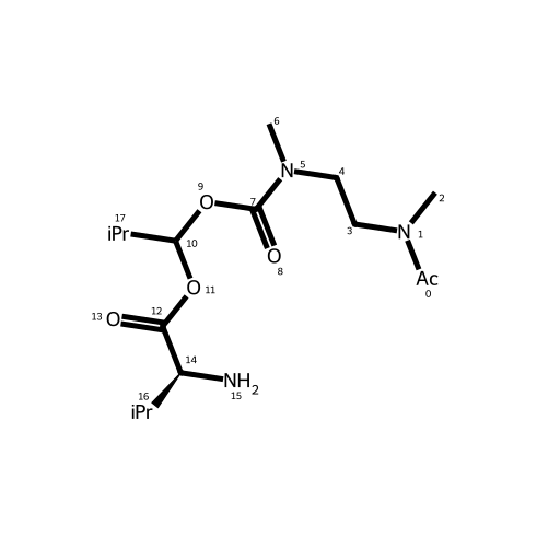 CC(=O)N(C)CCN(C)C(=O)OC(OC(=O)[C@@H](N)C(C)C)C(C)C